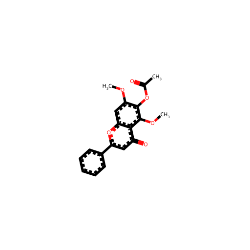 COc1cc2oc(-c3ccccc3)cc(=O)c2c(OC)c1OC(C)=O